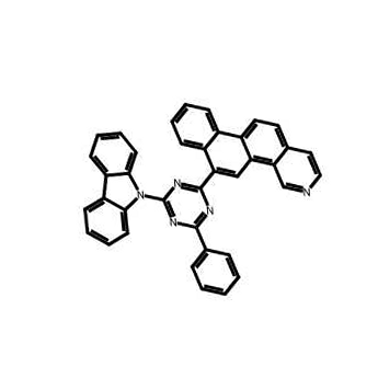 c1ccc(-c2nc(-c3cc4c5cnccc5ccc4c4ccccc34)nc(-n3c4ccccc4c4ccccc43)n2)cc1